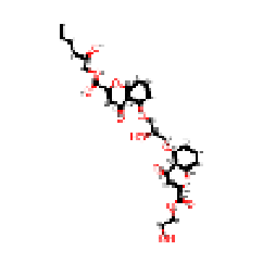 CCCCC(=O)COC(=O)c1cc(=O)c2c(OCC(O)COc3cccc4oc(C(=O)OCCO)cc(=O)c34)cccc2o1